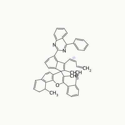 C#Cc1ccccc1C1=C(C)C2(C(C)=C(/C=C\C=C)c3c(-c4nc(-c5ccccc5)c5ccccc5n4)cccc32)c2ccc3c(c2O1)C(C)CC=C3